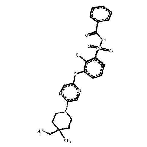 CC1(CN)CCN(c2cnc(Sc3cccc(S(=O)(=O)NC(=O)c4ccccc4)c3Cl)cn2)CC1